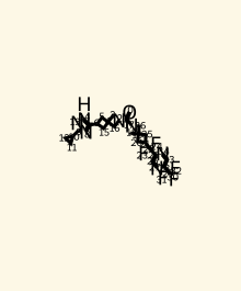 O=C(N1CC2(CC(c3nc(C4CC4)n[nH]3)C2)C1)N1CC2(CC(C(F)(F)c3cnc(C(F)(F)F)cn3)C2)C1